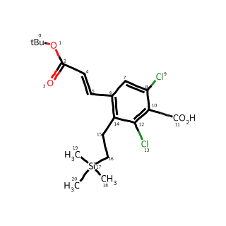 CC(C)(C)OC(=O)/C=C/c1cc(Cl)c(C(=O)O)c(Cl)c1CC[Si](C)(C)C